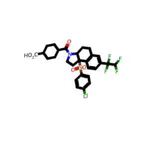 O=C(O)C1CCC(C(=O)N2CCC3(S(=O)(=O)c4ccc(Cl)cc4)c4ccc(C(F)(F)C(F)F)cc4CCC23)CC1